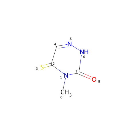 Cn1c(=S)cn[nH]c1=O